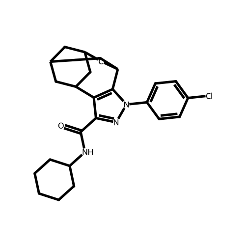 O=C(NC1CCCCC1)c1nn(-c2ccc(Cl)cc2)c2c1C1CC3CC(C1)CC2C3